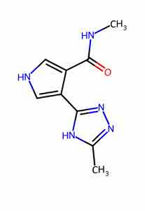 CNC(=O)c1c[nH]cc1-c1nnc(C)[nH]1